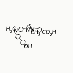 CN(Cc1ccc(C2CCC(O)CC2)cc1)c1ccc(-c2csc(N(C)Cc3ccc(C(=O)O)cc3)n2)cc1